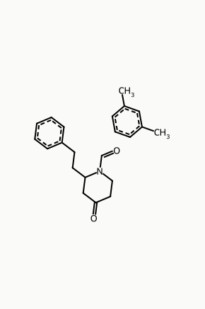 Cc1cccc(C)c1.O=CN1CCC(=O)CC1CCc1ccccc1